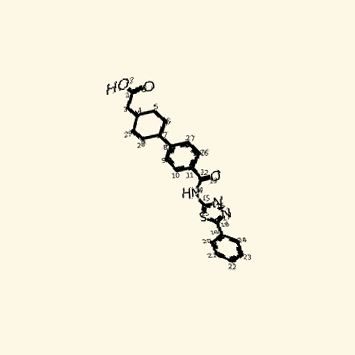 O=C(O)CC1CCC(c2ccc(C(=O)Nc3nnc(-c4ccccc4)s3)cc2)CC1